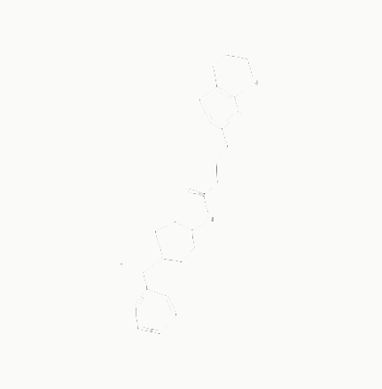 CC(=O)[C@@H](c1ccccc1)N1CCC(NC(=O)CCCc2ccc3c(n2)NCCC3)CC1